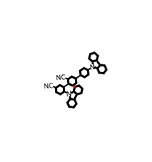 N#Cc1ccc(-n2c3ccccc3c3ccccc32)c(-c2ccc(-c3ccc(-n4c5ccccc5c5ccccc54)cc3)cc2C#N)c1